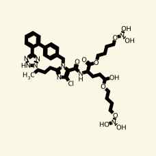 CCCCc1nc(Cl)c(C(=O)NC(CCC(O)OCCCCON(O)O)C(=O)OCCCCON(O)O)n1Cc1ccc(-c2ccccc2-c2nn[nH]n2)cc1